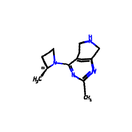 Cc1nc2c(c(N3CC[C@@H]3C)n1)CNC2